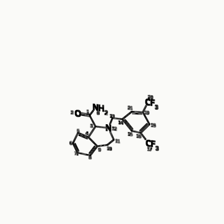 NC(=O)C1c2cc[c]cc2CCN1Cc1cc(C(F)(F)F)cc(C(F)(F)F)c1